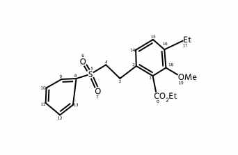 CCOC(=O)c1c(CCS(=O)(=O)c2ccccc2)ccc(CC)c1OC